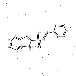 O=S(=O)(C=Cc1ccccc1)c1cc2ccccc2[nH]1